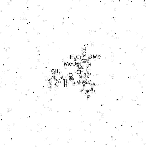 COC1=CC(=CC2=C(C)C(=CC(=O)NCc3cccn3C)c3cc(F)ccc32)C=C(OC)C1(C)O